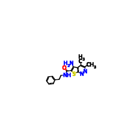 Cc1nnc2sc(C(=O)NCCc3ccccc3)c(N)c2c1C